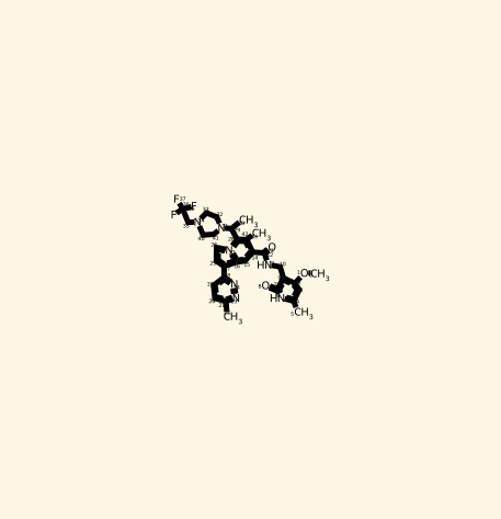 COc1cc(C)[nH]c(=O)c1CNC(=O)c1cc2c(-c3ccc(C)nn3)ccn2c(C(C)N2CCN(CC(F)(F)F)CC2)c1C